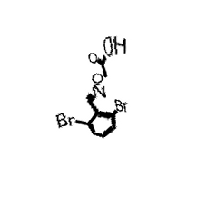 O=C(O)CON=Cc1c(Br)cccc1Br